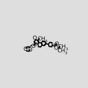 Cc1c2n(c(OC[C@@H]3COCCO3)cc1=O)CCc1cc(C3CCN(C(=O)OC(C)C)CC3)ccc1-2